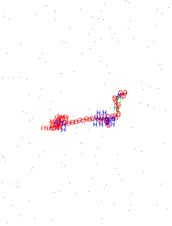 CCOC(=O)CCC(=O)N1Cc2cc(OC)c(OCCCOc3c(OC)cc4sc(C(=O)CCC(=O)O[C@@H](C)CNC(=O)CC[C@H](NC(=O)CN5C(=O)C=CC5=O)C(=O)NCC(=O)NCC(=O)NCC(=O)NCC(=O)NCCOCCOCCOCCOCCOCCOCCOCCOCCC(=O)N[C@@H](CCC(=O)NC[C@H](O)[C@@H](O)[C@H](O)[C@H](O)CO)C(=O)NC[C@H](O)[C@@H](O)[C@H](O)[C@H](O)CO)cc4c3F)c(Cl)c2C1